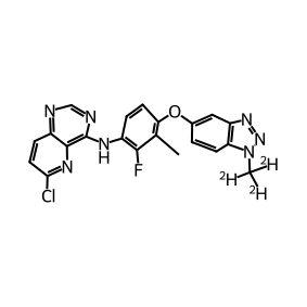 [2H]C([2H])([2H])n1nnc2cc(Oc3ccc(Nc4ncnc5ccc(Cl)nc45)c(F)c3C)ccc21